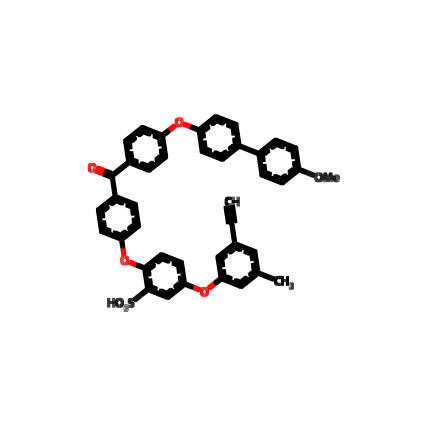 C#Cc1cc(C)cc(Oc2ccc(Oc3ccc(C(=O)c4ccc(Oc5ccc(-c6ccc(OC)cc6)cc5)cc4)cc3)c(S(=O)(=O)O)c2)c1